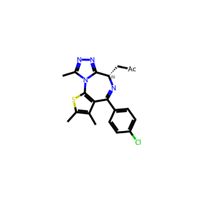 CC(=O)C[C@@H]1N=C(c2ccc(Cl)cc2)c2c(sc(C)c2C)-n2c(C)nnc21